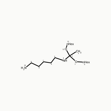 CCCCCCOC(C)(NCCCCCN)OCCCCCC